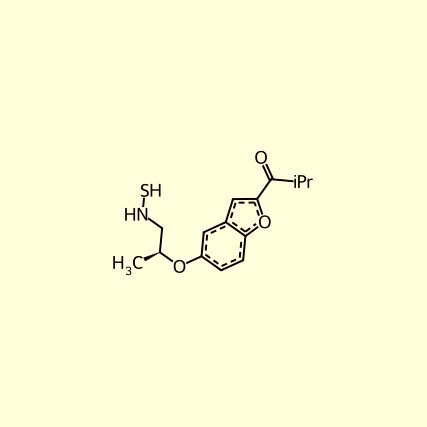 CC(C)C(=O)c1cc2cc(O[C@@H](C)CNS)ccc2o1